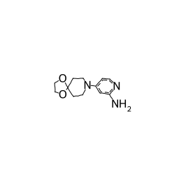 Nc1cc(N2CCC3(CC2)OCCO3)ccn1